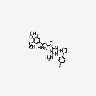 COc1ccc(-c2cc(Nc3nc(N)nc(N4CCCC4c4ccc(F)cc4)n3)n[nH]2)cc1OC